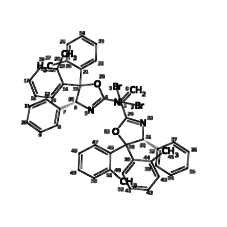 [CH2]=[Ni]([Br])([Br])([C]1=N[C@H](c2ccccc2)C(c2ccccc2C)(c2ccccc2C)O1)[C]1=N[C@H](c2ccccc2)C(c2ccccc2C)(c2ccccc2C)O1